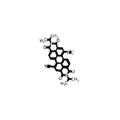 [C-]#[N+]c1cc2c3c(ccc4c5c(C#N)cc6c7c(ccc(c1c34)c75)C(=O)N(C(C)C)C6=O)C(=O)N(C(C)C)C2=O